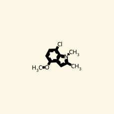 COc1ccc(Cl)c2c1cc(C)n2C